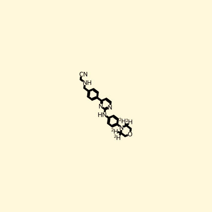 [2H]C1([2H])COCC([2H])([2H])N1c1ccc(Nc2nccc(-c3ccc(CNCC#N)cc3)n2)cc1